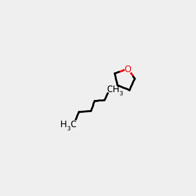 C1CCOC1.CCCCCC